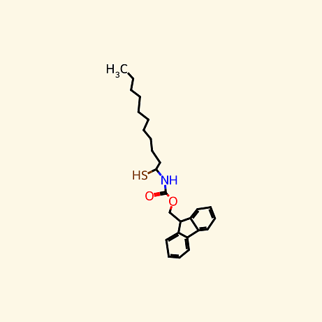 CCCCCCCCCCC(S)NC(=O)OCC1c2ccccc2-c2ccccc21